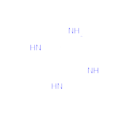 N=C(N)C1NC=CN1